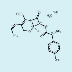 C/C=C\C1=C(C(=O)O)N2C(=O)[C@@H](NC(=O)[C@H](N)c3ccc(O)cc3)[C@H]2SC1.O.[NaH]